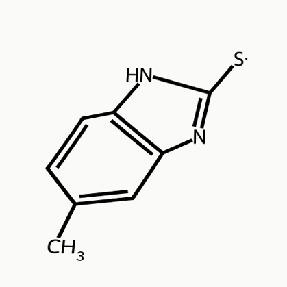 Cc1ccc2[nH]c([S])nc2c1